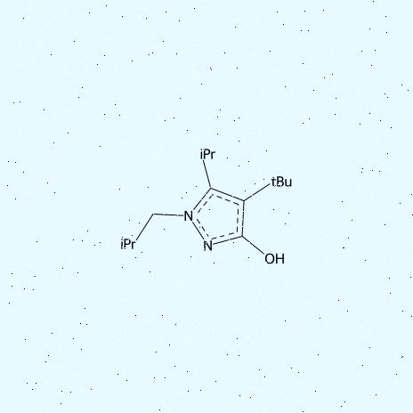 CC(C)Cn1nc(O)c(C(C)(C)C)c1C(C)C